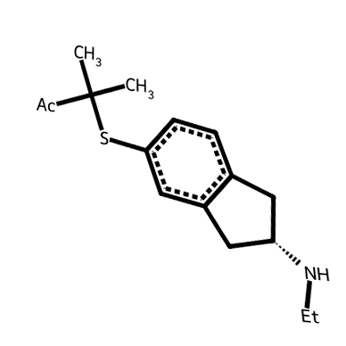 CCN[C@H]1Cc2ccc(SC(C)(C)C(C)=O)cc2C1